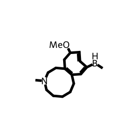 CBC1=C/C2=C(/CCN(C)CCCCC2)CC(OC)\C=C\1